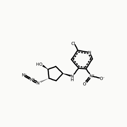 [N-]=[N+]=N[C@H]1C[C@H](Nc2cc(Cl)ncc2[N+](=O)[O-])C[C@@H]1O